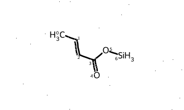 CC=CC(=O)O[SiH3]